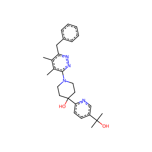 Cc1c(Cc2ccccc2)nnc(N2CCC(O)(c3ccc(C(C)(C)O)cn3)CC2)c1C